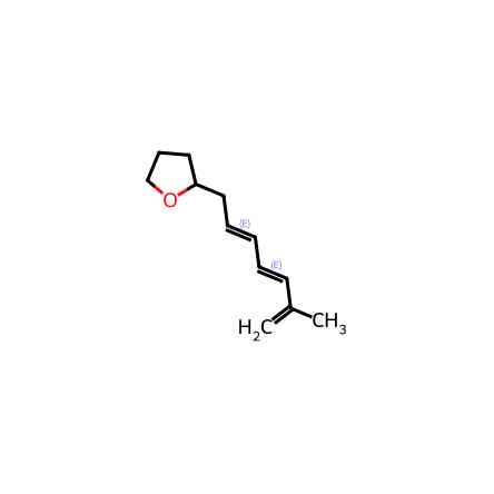 C=C(C)/C=C/C=C/CC1CCCO1